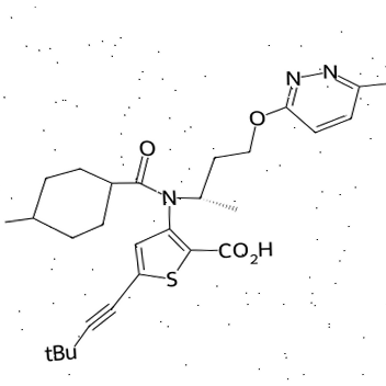 CC1CCC(C(=O)N(c2cc(C#CC(C)(C)C)sc2C(=O)O)[C@@H](C)CCOc2ccc(Cl)nn2)CC1